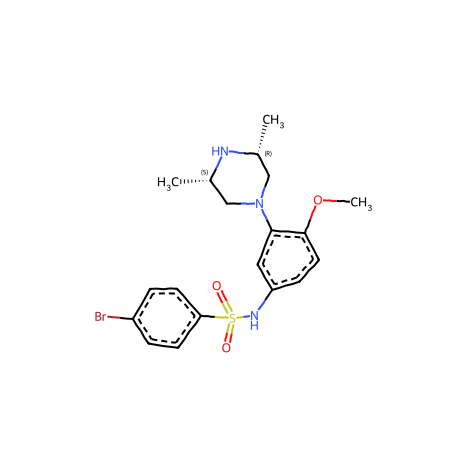 COc1ccc(NS(=O)(=O)c2ccc(Br)cc2)cc1N1C[C@@H](C)N[C@@H](C)C1